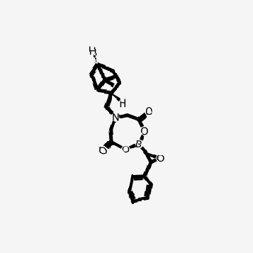 CC1(C)C2C[C@H]1CC[C@@H]2CN1CC(=O)OB(C2OC2c2ccccc2)OC(=O)C1